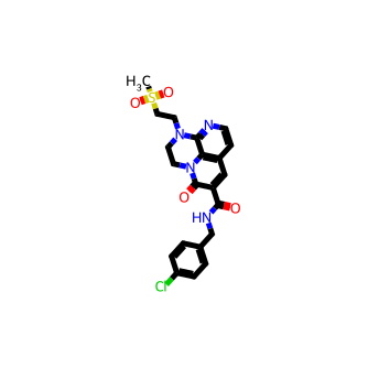 CS(=O)(=O)CCN1CCn2c(=O)c(C(=O)NCc3ccc(Cl)cc3)cc3ccnc1c32